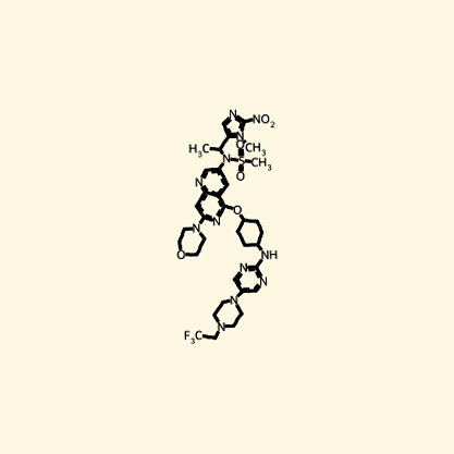 CC(c1cnc([N+](=O)[O-])n1C)N(c1cnc2cc(N3CCOCC3)nc(OC3CCC(Nc4ncc(N5CCN(CC(F)(F)F)CC5)cn4)CC3)c2c1)S(C)(=O)=O